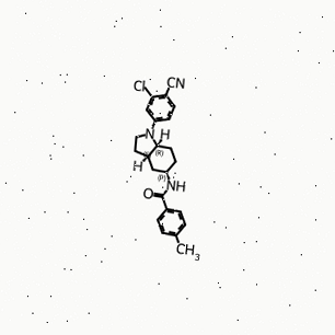 Cc1ccc(C(=O)N[C@@H]2CC[C@@H]3[C@@H](CCN3c3ccc(C#N)c(Cl)c3)C2)cc1